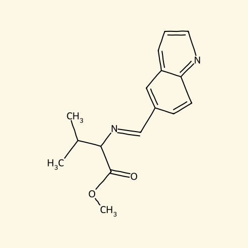 COC(=O)C(N=Cc1ccc2ncccc2c1)C(C)C